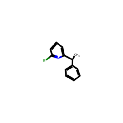 CC(c1ccccc1)c1cccc(Br)n1